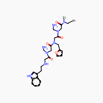 CCN(CC(C)C)C(=O)CN(CN)C(=O)CN(Cc1ccco1)C(=O)CN(CN)C(=O)CNCCc1c[nH]c2ccccc12